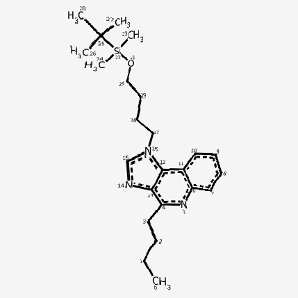 CCCCc1nc2ccccc2c2c1ncn2CCCCO[Si](C)(C)C(C)(C)C